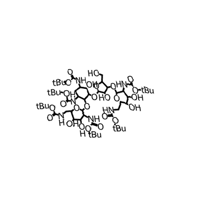 CC(C)(C)OC(=O)NCC1OC(OC2C(CO)OC(OC3C(O)C(NC(=O)OC(C)(C)C)CC(NC(=O)OC(C)(C)C)C3OC3OC(CNC(=O)OC(C)(C)C)C(O)C(O)C3NC(=O)OC(C)(C)C)C2O)C(NC(=O)OC(C)(C)C)C(O)C1O